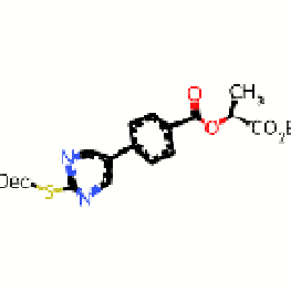 CCCCCCCCCCSc1ncc(-c2ccc(C(=O)O[C@@H](C)C(=O)OCC)cc2)cn1